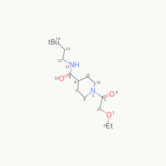 CCOCC(=O)N1CCC(C(=O)NCCC(C)(C)C)CC1